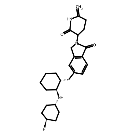 C=C1CCC(N2Cc3cc(C[C@H]4CCCC[C@@H]4N[C@H]4CC[C@H](F)CC4)ccc3C2=O)C(=O)N1